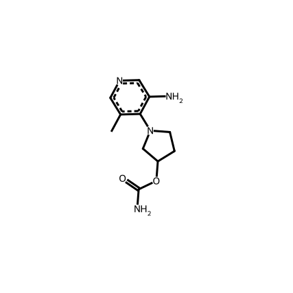 Cc1cncc(N)c1N1CCC(OC(N)=O)C1